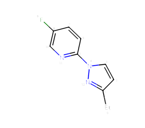 CCc1ccn(-c2ccc(F)cn2)n1